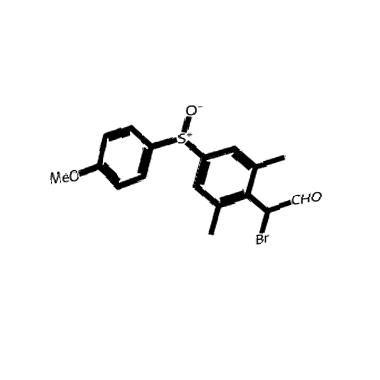 COc1ccc([S+]([O-])c2cc(C)c(C(Br)C=O)c(C)c2)cc1